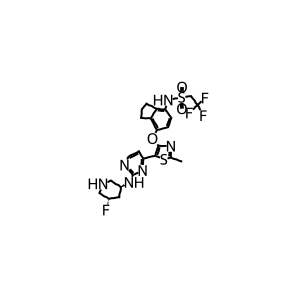 Cc1nc(Oc2ccc(NS(=O)(=O)CC(F)(F)F)c3c2CCC3)c(-c2ccnc(N[C@@H]3CNC[C@@H](F)C3)n2)s1